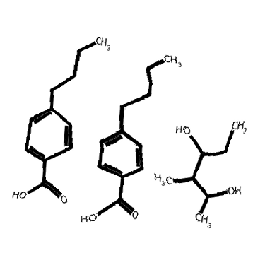 CCC(O)C(C)C(C)O.CCCCc1ccc(C(=O)O)cc1.CCCCc1ccc(C(=O)O)cc1